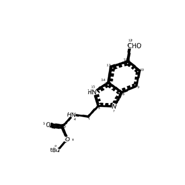 CC(C)(C)OC(=O)NCc1nc2ccc(C=O)cc2[nH]1